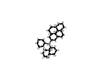 c1ccc(N(c2cc3ccc4cccc5ccc(c2)c3c45)c2cccc3nccnc23)cc1